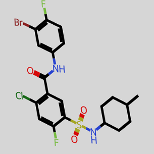 CC1CCC(NS(=O)(=O)c2cc(C(=O)Nc3ccc(F)c(Br)c3)c(Cl)cc2F)CC1